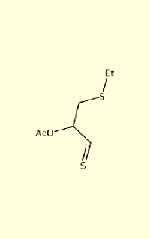 CCSCC(C=S)OC(C)=O